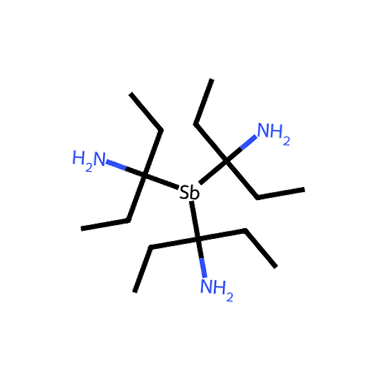 CC[C](N)(CC)[Sb]([C](N)(CC)CC)[C](N)(CC)CC